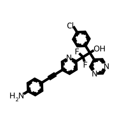 Nc1ccc(C#Cc2ccc(C(F)(F)C(O)(c3ccc(Cl)cc3)c3cncnc3)nc2)cc1